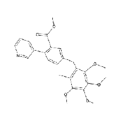 COC(=O)c1cc(Cc2c(C)c(OC)c(OC)c(OC)c2OC)ccc1-c1cccnc1